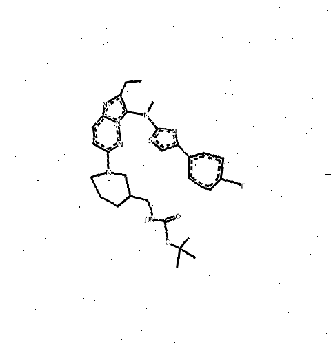 CCc1nc2ccc(N3CCCC(CNC(=O)OC(C)(C)C)C3)nn2c1N(C)c1nc(-c2ccc(F)cc2)cs1